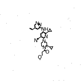 C=Cc1cnnc(Nc2cc(C#N)c(N3CCN(C(=O)CCOC)[C@H](C4CC4)C3)nc2C2CC2)c1